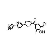 Cn1cc(-c2ccc(C3CCN(C(=O)c4cc(F)c(O)c(C=O)c4)CC3)cn2)cn1